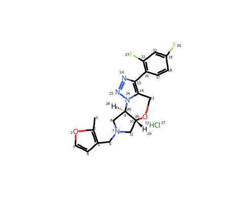 Cc1occc1CN1C[C@@H]2[C@@H](C1)OCc1c(-c3ccc(F)cc3F)nnn12.Cl